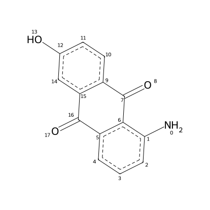 Nc1cccc2c1C(=O)c1ccc(O)cc1C2=O